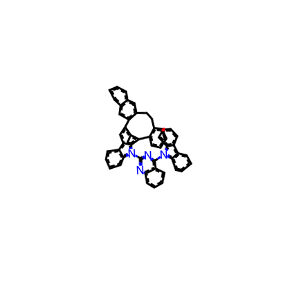 Cc1c2cc3c4ccccc4n(-c4nc(-n5c6ccccc6c6ccccc65)c5ccccc5n4)c3c1-c1ccccc1CCc1cc3ccccc3cc1-2